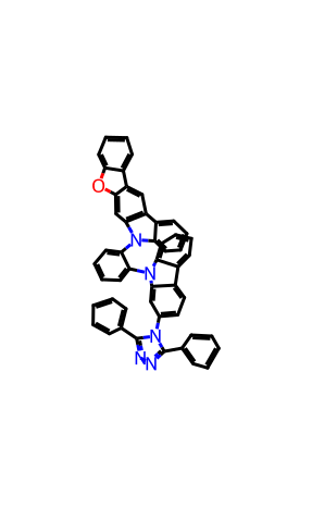 c1ccc(-c2nnc(-c3ccccc3)n2-c2ccc3c4ccccc4n(-c4ccccc4-n4c5ccccc5c5cc6c(cc54)oc4ccccc46)c3c2)cc1